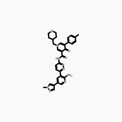 Cc1ccc(-c2cn(CC3CCOCC3)cc(C(=O)Nc3ccc(-c4cc(-c5cnn(C)c5)cnc4N)nn3)c2=O)cc1